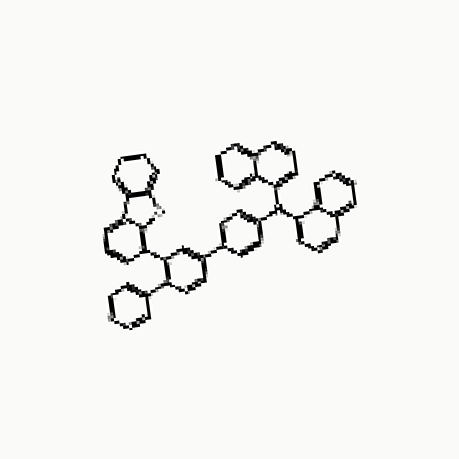 c1ccc(-c2ccc(-c3ccc(N(c4cccc5ccccc45)c4cccc5ccccc45)cc3)cc2-c2cccc3c2oc2ccccc23)cc1